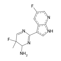 CC1(F)C=NC(c2c[nH]c3ncc(F)cc23)=NC1N